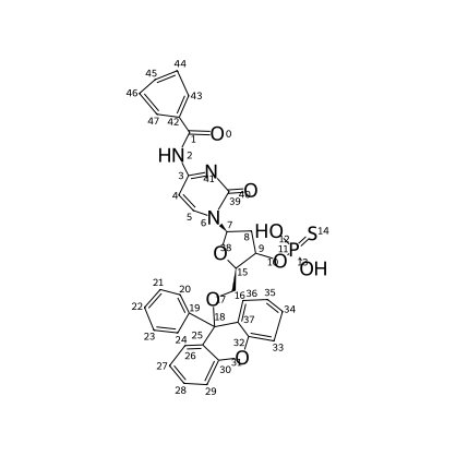 O=C(Nc1ccn([C@H]2CC(OP(O)(O)=S)[C@@H](COC3(c4ccccc4)c4ccccc4Oc4ccccc43)O2)c(=O)n1)c1ccccc1